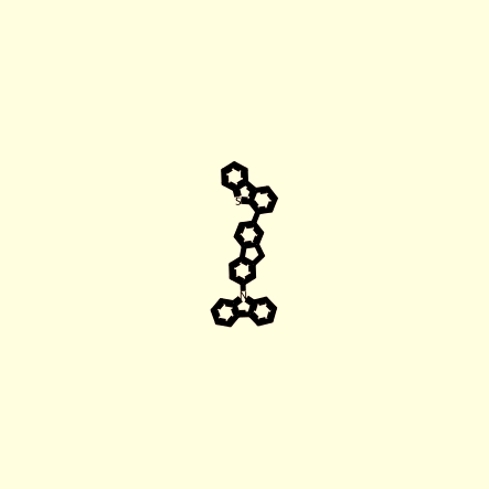 c1ccc2c(c1)sc1c(-c3ccc4c(c3)Cc3cc(-n5c6ccccc6c6ccccc65)ccc3-4)cccc12